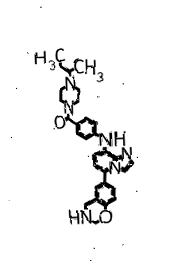 CCC(C)N1CCN(C(=O)c2ccc(Nc3ccc(-c4ccc5c(c4)CNCO5)n4ccnc34)cc2)CC1